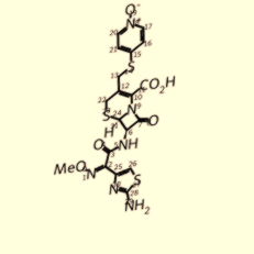 CO/N=C(\C(=O)N[C@@H]1C(=O)N2C(C(=O)O)=C(CSc3cc[n+]([O-])cc3)CS[C@H]12)c1csc(N)n1